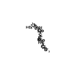 O=C(CN1CCCC(CO)C1)Nc1ccn(CCC(F)Cn2cc(C(=O)NCc3cccc(OC(F)(F)F)c3)nn2)c(=O)c1